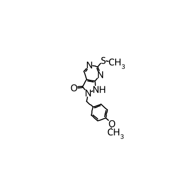 COc1ccc(Cn2[nH]c3nc(SC)ncc3c2=O)cc1